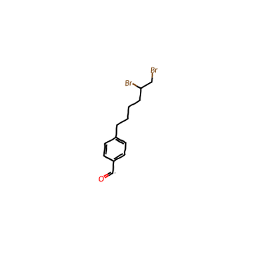 O=[C]c1ccc(CCCCC(Br)CBr)cc1